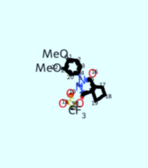 COc1ccc(-n2nc(OS(=O)(=O)C(F)(F)F)c3c(c2=O)CCC3)cc1OC